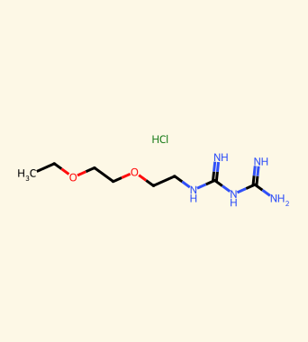 CCOCCOCCNC(=N)NC(=N)N.Cl